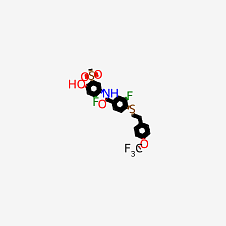 CS(=O)(=O)c1cc(NC(=O)c2ccc(SCCc3ccc(OC(F)(F)F)cc3)c(F)c2)c(F)cc1O